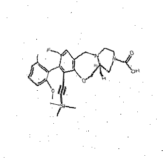 COc1cccc(C)c1-c1c(F)cc2c(c1C#C[Si](C)(C)C)OC[C@H]1CN(C(=O)O)CCN1C2